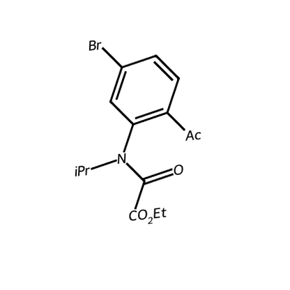 CCOC(=O)C(=O)N(c1cc(Br)ccc1C(C)=O)C(C)C